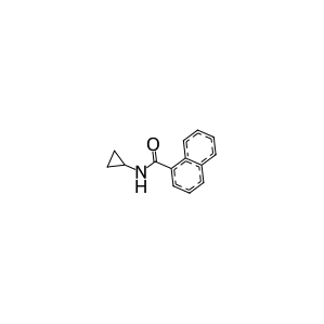 O=C(NC1CC1)c1cccc2ccccc12